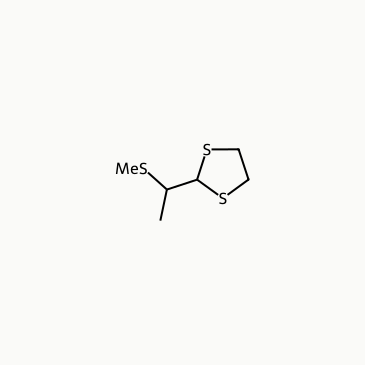 CSC(C)C1SCCS1